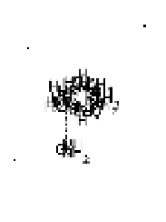 CC1NC(=O)C(CC(N)=O)NC(=O)C(C(C)O)NC(=O)C(C(C)C)NC(=O)C(C(C)C)NC(=O)C(NC(=O)CC(O)CCCCCCCCCCCCNC(N)=O)C(C)OC1=O